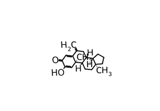 C=C1C[C@H]2[C@@H]3CCC[C@@]3(C)CC[C@@H]2[C@@]2(C)C=C(O)C(=O)C=C12